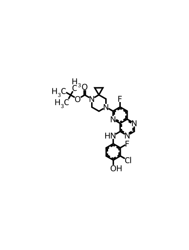 CC(C)(C)OC(=O)N1CCN(c2nc3c(Nc4ccc(O)c(Cl)c4F)ncnc3cc2F)CC12CC2